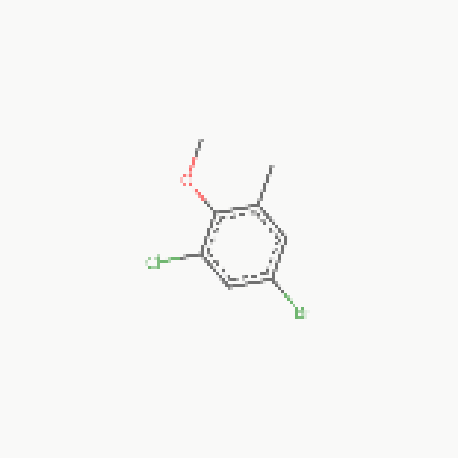 COc1c(C)cc(Br)cc1Cl